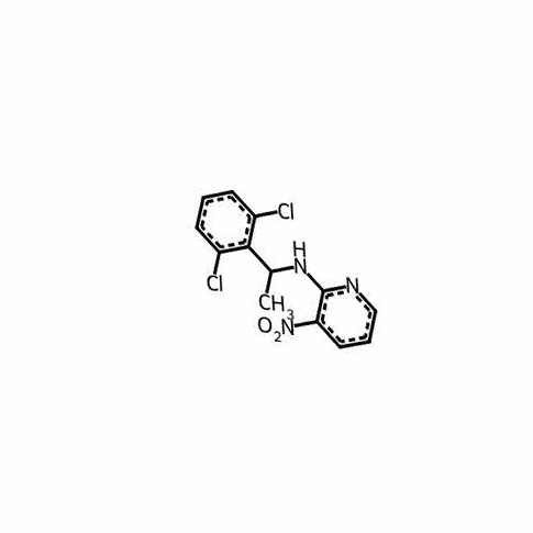 CC(Nc1ncccc1[N+](=O)[O-])c1c(Cl)cccc1Cl